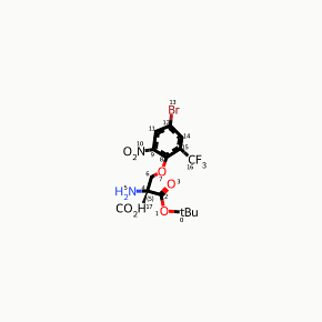 CC(C)(C)OC(=O)[C@](N)(COc1c([N+](=O)[O-])cc(Br)cc1C(F)(F)F)C(=O)O